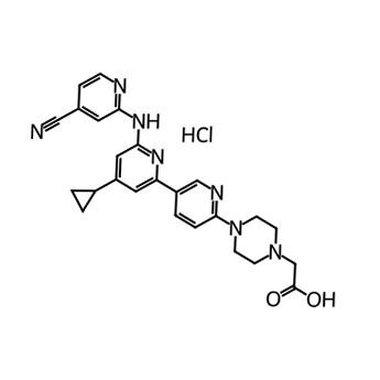 Cl.N#Cc1ccnc(Nc2cc(C3CC3)cc(-c3ccc(N4CCN(CC(=O)O)CC4)nc3)n2)c1